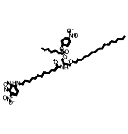 CCCCCCCCCCCCCCCCOCC(COP(=O)(CCCCCC)Oc1ccc([N+](=O)[O-])cc1)NC(=O)CCCCCCCCCCCNc1ccc([N+](=O)[O-])c2nonc12